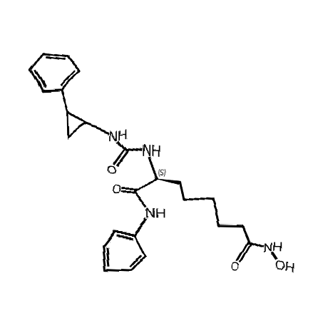 O=C(CCCCC[C@H](NC(=O)NC1CC1c1ccccc1)C(=O)Nc1ccccc1)NO